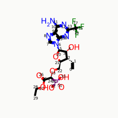 C=C[C@H]1[C@@H](O)[C@H](n2cnc3c(N)nc(C(F)(F)F)nc32)O[C@@H]1CO[C@@H](C(=O)OCC)P(=O)(O)O